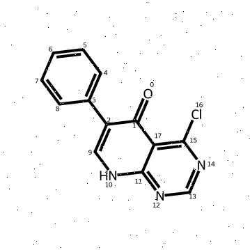 O=c1c(-c2ccccc2)c[nH]c2ncnc(Cl)c12